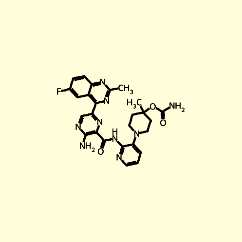 Cc1nc(-c2cnc(N)c(C(=O)Nc3ncccc3N3CCC(C)(OC(N)=O)CC3)n2)c2cc(F)ccc2n1